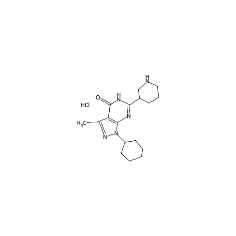 Cc1nn(C2CCCCC2)c2nc(C3CCCNC3)[nH]c(=O)c12.Cl